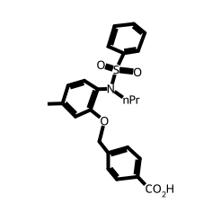 CCCN(c1ccc(C)cc1OCc1ccc(C(=O)O)cc1)S(=O)(=O)c1ccccc1